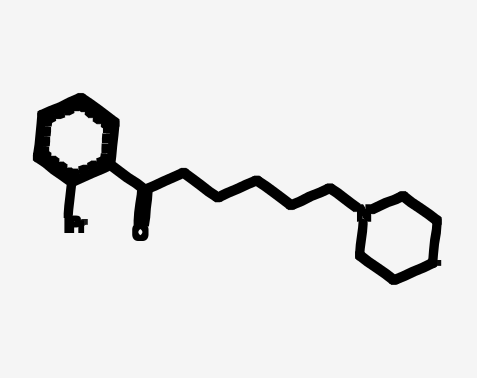 CC(C)c1ccccc1C(=O)CCCCCN1CC[CH]CC1